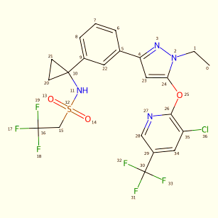 CCn1nc(-c2cccc(C3(NS(=O)(=O)CC(F)(F)F)CC3)c2)cc1Oc1ncc(C(F)(F)F)cc1Cl